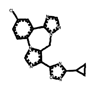 Clc1ccc2c(c1)-c1ncnn1Cc1c(-c3nc(C4CC4)no3)ncn1-2